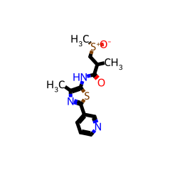 Cc1nc(-c2cccnc2)sc1NC(=O)C(C)C[S+](C)[O-]